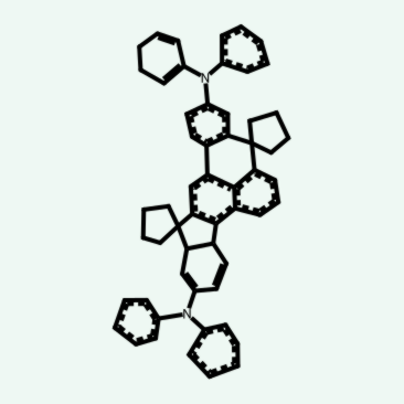 C1=CC(N(c2ccccc2)c2ccc3c(c2)C2(CCCC2)c2cccc4c5c(cc-3c24)C2(CCCC2)C2C=C(N(c3ccccc3)c3ccccc3)C=CC52)=CCC1